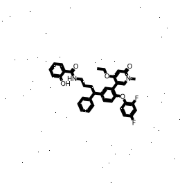 CCOc1cc(=O)n(C)cc1-c1cc(C(CCCNC(=O)c2ccccc2O)c2ccccc2)ccc1Oc1ccc(F)cc1F